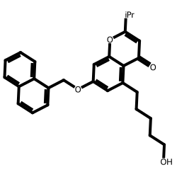 CC(C)c1cc(=O)c2c(CCCCCO)cc(OCc3cccc4ccccc34)cc2o1